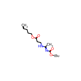 C=CCCCOC(=O)CCN/C(C)=N/C(=O)OC(C)(C)C